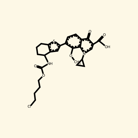 COc1c(-c2cc3c(s2)CCCC3NC(=O)OCCCCCl)ccc2c(=O)c(C(=O)O)cn(C3CC3)c12